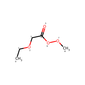 CCOCC(=O)OOC